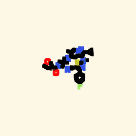 Cc1cn2nc(C3CC3)c(N(C)c3nc(-c4ccc(F)cc4)c(C#N)s3)c2cc1N1CC2(CN(C(=O)[C@@H]3CCOC3)C2)C1